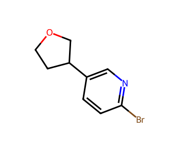 Brc1ccc(C2CCOC2)cn1